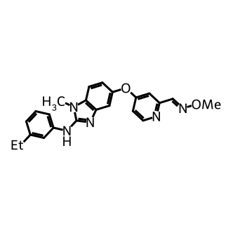 CCc1cccc(Nc2nc3cc(Oc4ccnc(C=NOC)c4)ccc3n2C)c1